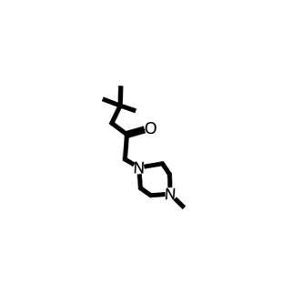 CN1CCN(CC(=O)CC(C)(C)C)CC1